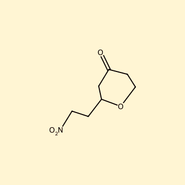 O=C1CCOC(CC[N+](=O)[O-])C1